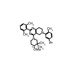 CO[C@H]1CCN(c2nc(-c3c(C)cccc3C)nc3c2CN(c2cc(C(C)C)ccc2C)CC3)CC1(C)C